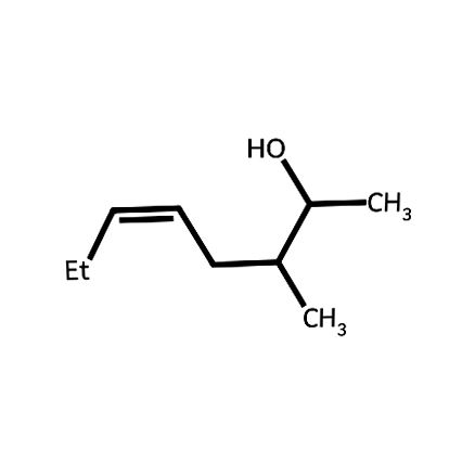 CC/C=C\CC(C)C(C)O